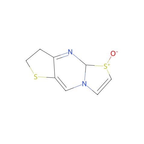 [O-][S+]1C=CN2C=C3SCCC3=NC21